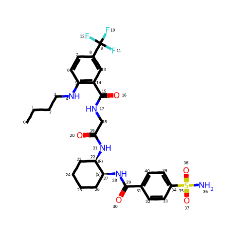 CCCCNc1ccc(C(F)(F)F)cc1C(=O)NCC(=O)N[C@@H]1CCCC[C@@H]1NC(=O)c1ccc(S(N)(=O)=O)cc1